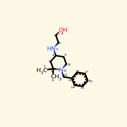 CC1(C)CC(NCCO)CCN1Cc1ccccc1